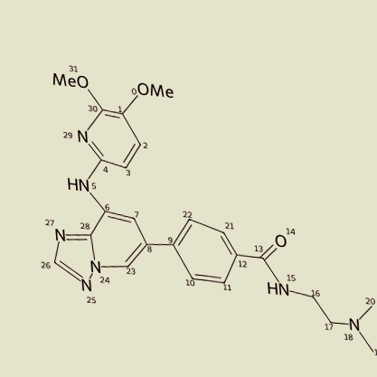 COc1ccc(Nc2cc(-c3ccc(C(=O)NCCN(C)C)cc3)cn3ncnc23)nc1OC